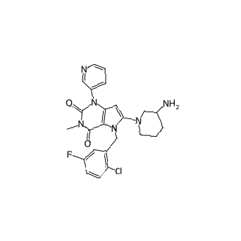 Cn1c(=O)c2c(cc(N3CCCC(N)C3)n2Cc2cc(F)ccc2Cl)n(-c2cccnc2)c1=O